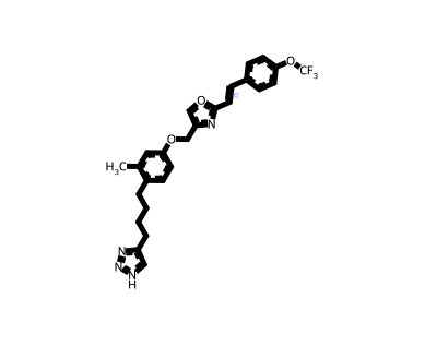 Cc1cc(OCc2coc(/C=C/c3ccc(OC(F)(F)F)cc3)n2)ccc1CCCCc1c[nH]nn1